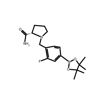 CC1(C)OB(c2ccc(CN3CCC[C@H]3C(N)=O)c(F)c2)OC1(C)C